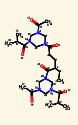 CCC(CCC(=O)N1CN(C(C)=O)CN(C(=O)C(C)C)C1)C(=O)N1CN(C(C)=O)CN(C(=O)C(C)C)C1